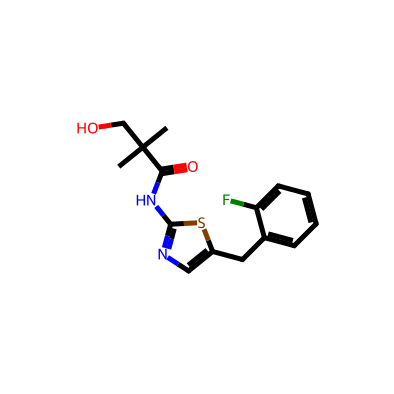 CC(C)(CO)C(=O)Nc1ncc(Cc2ccccc2F)s1